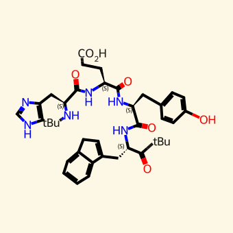 CC(C)(C)N[C@@H](Cc1c[nH]cn1)C(=O)N[C@@H](CCC(=O)O)C(=O)N[C@@H](Cc1ccc(O)cc1)C(=O)N[C@@H](CC1=CCc2ccccc21)C(=O)C(C)(C)C